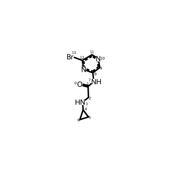 O=C(CNC1CC1)Nc1cncc(Br)n1